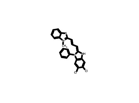 C[n+]1c(/C=C/C=C2/Nc3cc(Cl)c(Cl)cc3N2c2ccccc2)sc2ccccc21